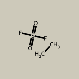 CC.O=S(=O)(F)F